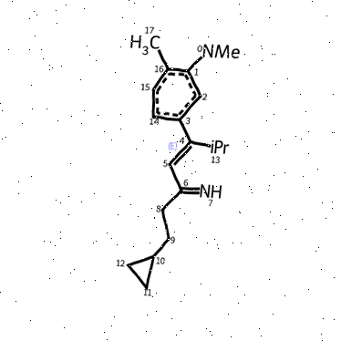 CNc1cc(/C(=C/C(=N)CCC2CC2)C(C)C)ccc1C